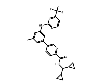 Cc1cc(Nc2nccc(C(F)(F)F)n2)cc(-c2ccc(C(=O)NC(C3CC3)C3CC3)nc2)c1